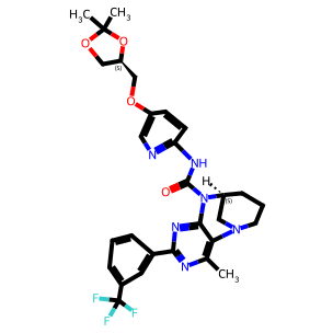 Cc1nc(-c2cccc(C(F)(F)F)c2)nc2c1N1CCC[C@@H](C1)N2C(=O)Nc1ccc(OC[C@H]2COC(C)(C)O2)cn1